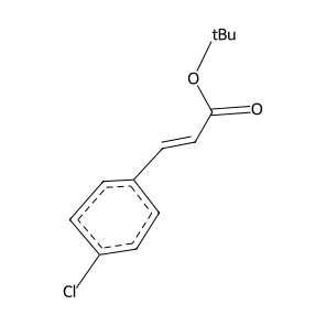 CC(C)(C)OC(=O)C=Cc1ccc(Cl)cc1